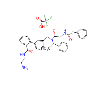 NCCNC(=O)c1ccccc1-c1cccc(CN(C(=O)CNC(=O)Cc2ccccc2)C(C(=O)O)c2ccccc2)c1.O=C(O)C(F)(F)F